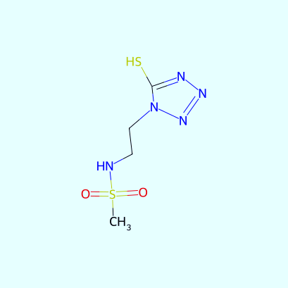 CS(=O)(=O)NCCn1nnnc1S